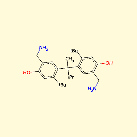 CC(C)C(C)(c1cc(CN)c(O)cc1C(C)(C)C)c1cc(CN)c(O)cc1C(C)(C)C